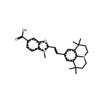 C[n+]1c(/C=C/c2cc3c4c(c2)C(C)(C)CCN4CCC3(C)C)oc2cc(C(=O)O)ccc21